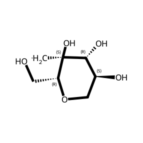 [CH2][C@]1(O)[C@H](O)[C@@H](O)CO[C@@H]1CO